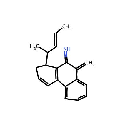 C=C1C(=N)C2=C(C=CCC2C(C)C=CC)c2ccccc21